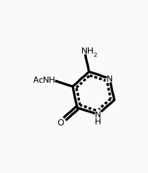 CC(=O)Nc1c(N)nc[nH]c1=O